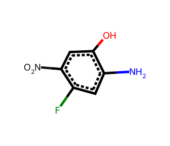 Nc1cc(F)c([N+](=O)[O-])cc1O